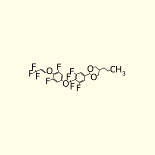 CCCC1COC(c2cc(F)c(C(F)(F)Oc3cc(F)c(O/C=C/C(F)(F)F)c(F)c3)c(F)c2)OC1